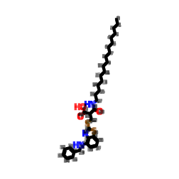 CCCCCCCCCCCCCCCCCCNC(=O)C(CSc1nc2c(NCc3ccccc3)cccc2s1)C(=O)O